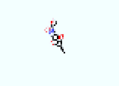 CC#Cc1cc(C)c(C2C(=O)CC3(CCN(C(=O)[C@H]4CCCOC4)CC3)CC2=O)c(C)c1